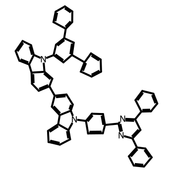 c1ccc(-c2cc(-c3ccccc3)cc(-n3c4ccccc4c4ccc(-c5ccc6c(c5)c5ccccc5n6-c5ccc(-c6nc(-c7ccccc7)cc(-c7ccccc7)n6)cc5)cc43)c2)cc1